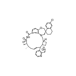 C[C@@H]1[C@@H](C)C/C=C/[C@](O)(c2cccnc2F)[C@@H]2CC[C@H]2CN2C[C@@]3(CCCc4cc(Cl)ccc43)COc3ccc(cc32)C(=O)NS1(=O)=O